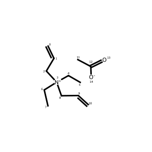 C=CC[N+](CC)(CC)CC=C.CC(=O)[O-]